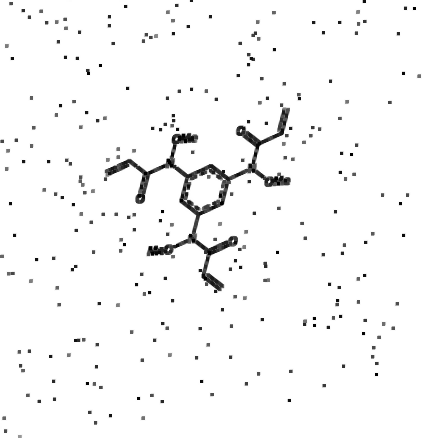 C=CC(=O)N(OC)c1cc(N(OC)C(=O)C=C)cc(N(OC)C(=O)C=C)c1